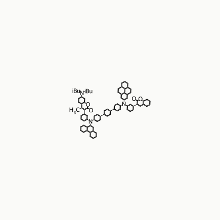 CCC(C)N(c1ccc2c(C)c(-c3cccc(N(c4ccc(-c5ccc(-c6ccc(N(c7cccc(-c8cc9ccccc9oc8=O)c7)c7cc8ccc9cccc%10ccc(c7)c8c9%10)cc6)cc5)cc4)c4cc5ccccc5c5ccccc45)c3)c(=O)oc2c1)C(C)CC